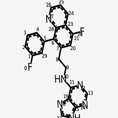 Fc1cccc(-c2c(CCNc3ncnc4[nH]cnc34)cc(F)c3cccnc23)c1